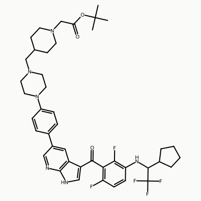 CC(C)(C)OC(=O)CN1CCC(CN2CCN(c3ccc(-c4cnc5[nH]cc(C(=O)c6c(F)ccc(NC(C7CCCC7)C(F)(F)F)c6F)c5c4)cc3)CC2)CC1